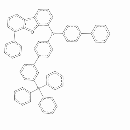 c1ccc(-c2ccc(N(c3ccc(-c4cccc([Si](c5ccccc5)(c5ccccc5)c5ccccc5)c4)cc3)c3cccc4c3oc3c(-c5ccccc5)cccc34)cc2)cc1